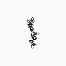 COC(=O)Nc1nc(C)c(S(=O)(=O)N2CCN(C[C@H](C)Nc3ncnc4c(-c5cncc(NC=O)c5)cccc34)CC2)s1